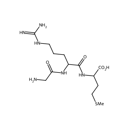 CSCCC(NC(=O)C(CCCNC(=N)N)NC(=O)CN)C(=O)O